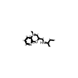 CCC(C)NCC1CN(C)c2cccnc2O1